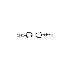 CCCCC[C@H]1CC[C@H](c2ccc(C=O)cc2)CC1